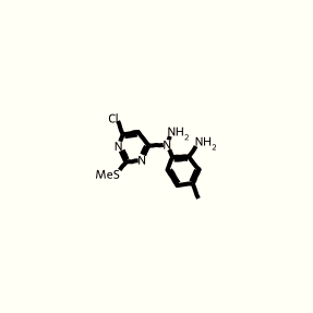 CSc1nc(Cl)cc(N(N)c2ccc(C)cc2N)n1